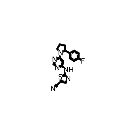 N#Cc1cnc(Nc2cc(N3CCCC3c3ccc(F)cc3)ncn2)s1